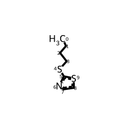 CCCCSc1nccs1